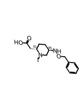 O=C(O)C[C@@H]1CC[C@@H](NOCc2ccccc2)CN1I